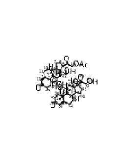 CC(=O)OCC(=O)[C@@]1(O)CC[C@H]2[C@@H]3CCC4=CC(=O)CC[C@]4(C)[C@H]3[C@@H](O)C[C@@]21C.C[C@]12CCC(=O)C=C1CC[C@@H]1[C@@H]2[C@@H](O)C[C@@]2(C)[C@H]1CC[C@]2(O)C(=O)CO